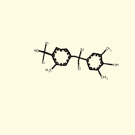 CCC(O)(CC)c1ccc(C(CC)(CC)c2cc(C)c(O)c(C)c2)cc1C